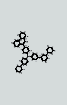 c1ccc(-c2ccc(N(c3ccc(-c4cccc(-c5ccccc5)c4)cc3)c3ccc(-c4cc5ccccc5c5ccccc45)cc3)cc2)cc1